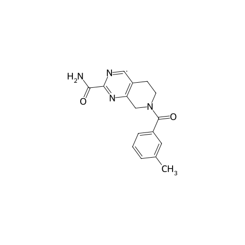 Cc1cccc(C(=O)N2CCc3[c]nc(C(N)=O)nc3C2)c1